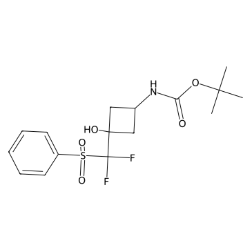 CC(C)(C)OC(=O)NC1CC(O)(C(F)(F)S(=O)(=O)c2ccccc2)C1